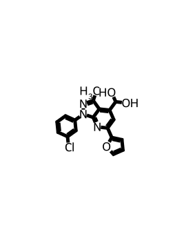 Cc1nn(-c2cccc(Cl)c2)c2nc(-c3ccco3)cc(C(O)O)c12